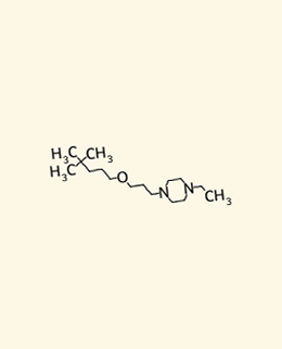 CCN1CCN(CCCOCCCC(C)(C)C)CC1